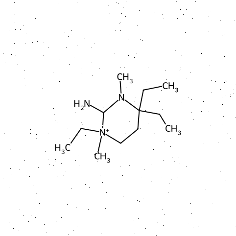 CCC1(CC)CC[N+](C)(CC)C(N)N1C